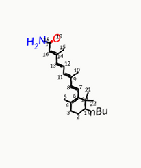 CCCCC1CCC(C)=C(/C=C/C(C)=C/C=C/C(C)=C/C(N)=O)C1(C)C